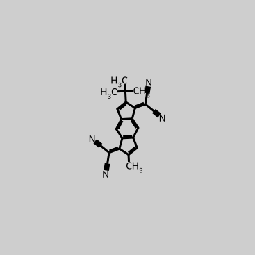 CC1=Cc2cc3c(cc2C1=C(C#N)C#N)C=C(C(C)(C)C)C3=C(C#N)C#N